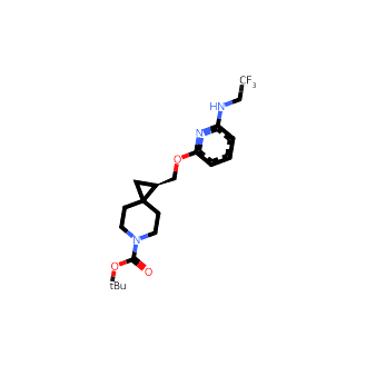 CC(C)(C)OC(=O)N1CCC2(CC1)C[C@H]2COc1cccc(NCC(F)(F)F)n1